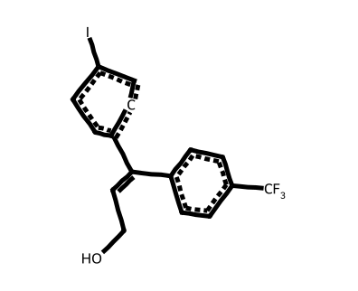 OCC=C(c1ccc(I)cc1)c1ccc(C(F)(F)F)cc1